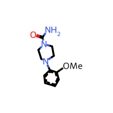 COc1ccccc1N1CCN(C(N)=O)CC1